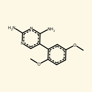 COc1ccc(OC)c(-c2cnc(N)nc2N)c1